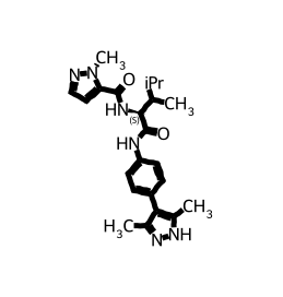 Cc1n[nH]c(C)c1-c1ccc(NC(=O)[C@@H](NC(=O)c2ccnn2C)C(C)C(C)C)cc1